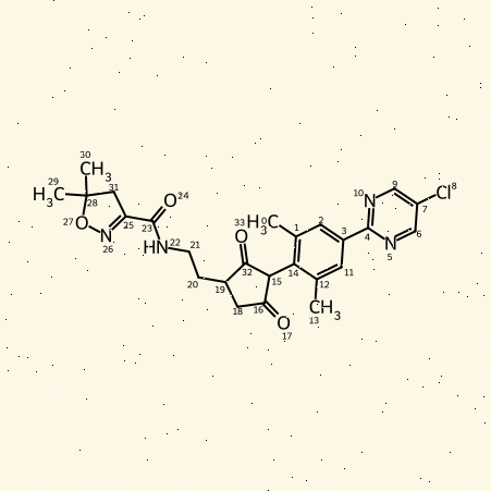 Cc1cc(-c2ncc(Cl)cn2)cc(C)c1C1C(=O)CC(CCNC(=O)C2=NOC(C)(C)C2)C1=O